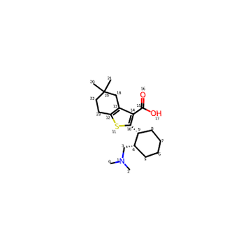 CN(C)C[C@H]1CCCC[C@H]1c1sc2c(c1C(=O)O)CC(C)(C)CC2